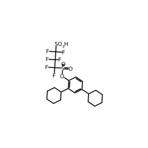 O=S(=O)(O)C(F)(F)C(F)(F)C(F)(F)S(=O)(=O)Oc1ccc(C2CCCCC2)cc1C1CCCCC1